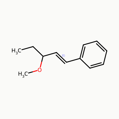 CCC(/C=C/c1ccccc1)OC